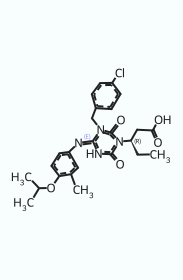 CC[C@H](CC(=O)O)n1c(=O)[nH]/c(=N\c2ccc(OC(C)C)c(C)c2)n(Cc2ccc(Cl)cc2)c1=O